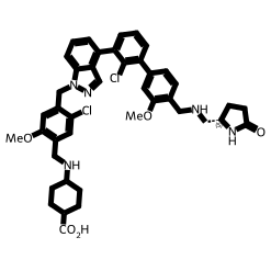 COc1cc(-c2cccc(-c3cccc4c3cnn4Cc3cc(OC)c(CNC4CCC(C(=O)O)CC4)cc3Cl)c2Cl)ccc1CNC[C@@H]1CCC(=O)N1